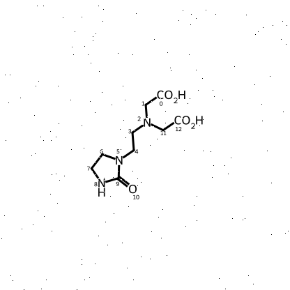 O=C(O)CN(CCN1CCNC1=O)CC(=O)O